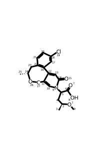 CO[C@@H](C)CC(C(=O)O)n1cc2c(cc1=O)-c1cc(Cl)ccc1C[C@@H](C)OC2